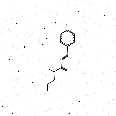 NCCC(N)C(=O)/C=C/c1ccc(O)cc1